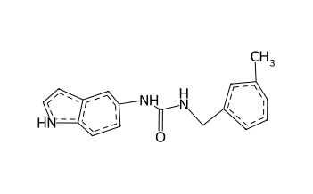 Cc1cccc(CNC(=O)Nc2ccc3[nH]ccc3c2)c1